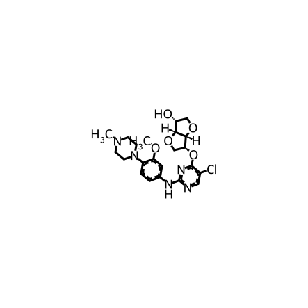 COc1cc(Nc2ncc(Cl)c(O[C@H]3CO[C@H]4[C@@H]3OC[C@H]4O)n2)ccc1N1CCN(C)CC1